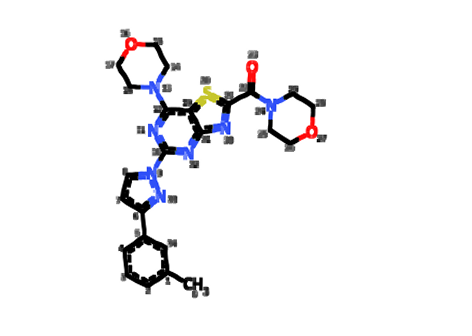 Cc1cccc(-c2ccn(-c3nc(N4CCOCC4)c4sc(C(=O)N5CCOCC5)nc4n3)n2)c1